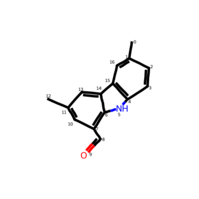 Cc1ccc2[nH]c3c(C=O)cc(C)cc3c2c1